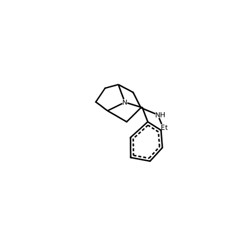 CCNC1CC2CCC(C1)N2Cc1ccccc1